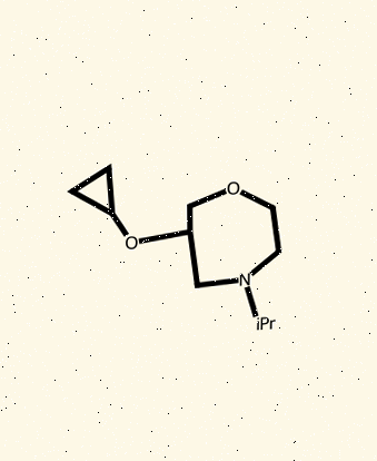 CC(C)N1CCOCC(OC2CC2)C1